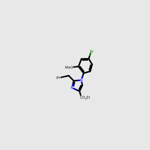 CCOC(=O)c1cn(-c2ccc(Br)cc2OC)c(CC(C)C)n1